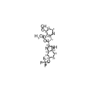 COc1ccnc(CC(=O)c2nc3cc(OC(F)(F)F)ccc3[nH]2)c1OC